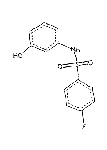 O=S(=O)(Nc1cccc(O)c1)c1ccc(F)cc1